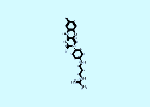 Cc1ccc2c(c1)Nc1nc(=O)n([C@H]3CC[C@H](NCCCNC(=N)N)CC3)cc1O2